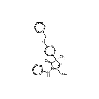 CSC1=N[C@](C)(c2ccc(OCc3ccccc3)cc2)C(=O)N1Nc1ccccc1